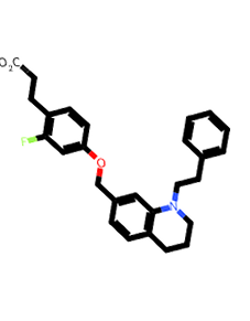 O=C(O)CCc1ccc(OCc2ccc3c(c2)N(CCc2ccccc2)CCC3)cc1F